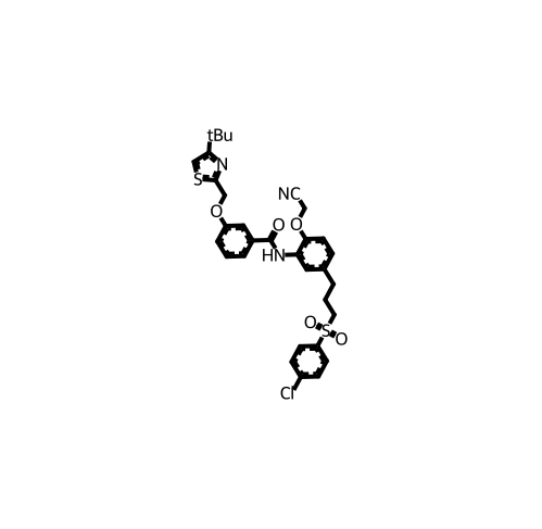 CC(C)(C)c1csc(COc2cccc(C(=O)Nc3cc(CCCS(=O)(=O)c4ccc(Cl)cc4)ccc3OCC#N)c2)n1